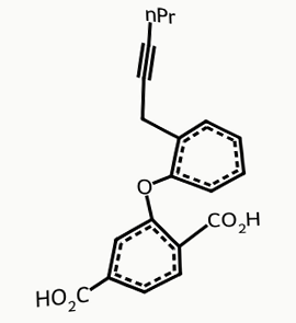 CCCC#CCc1ccccc1Oc1cc(C(=O)O)ccc1C(=O)O